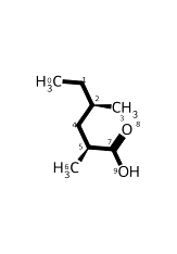 CC[C@@H](C)C[C@H](C)C(=O)O